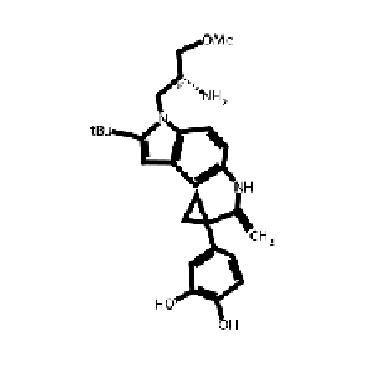 C=C(Nc1ccc2c(c1)cc(C(C)(C)C)n2C[C@@H](N)COC)C1(c2ccc(O)c(O)c2)CC1